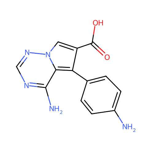 Nc1ccc(-c2c(C(=O)O)cn3ncnc(N)c23)cc1